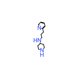 c1ccc(CCCNC2CCNCC2)nc1